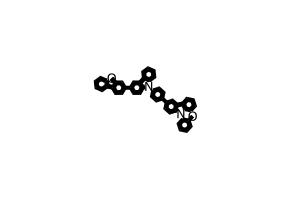 c1ccc2c(c1)Oc1cccc3c4cc(-c5ccc(-n6c7ccccc7c7cc(-c8ccc9c(c8)oc8ccccc89)ccc76)cc5)ccc4n-2c13